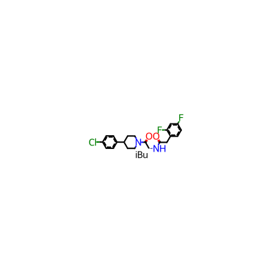 CC[C@H](C)[C@@H](NC(=O)Cc1ccc(F)cc1F)C(=O)N1CCC(c2ccc(Cl)cc2)CC1